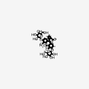 C[Si]1(C)c2c(ccc(O[C@@H]3O[C@H](CO)[C@H](O)[C@H](O)[C@H]3O)c2Cl)C2(OC(=O)c3ccccc32)c2ccc(O[C@@H]3O[C@H](CO)[C@H](O)[C@H](O)[C@H]3O)c(Cl)c21